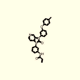 C=CC(=O)Nc1cccc(-n2c(=O)n(-c3cccc(Oc4ccc(C)cc4)c3)c3cnccc32)c1